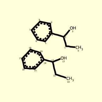 CCC(O)c1ccccc1.CCC(O)c1ccccc1